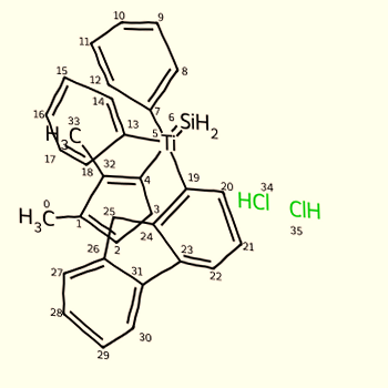 CC1=CC[C]([Ti](=[SiH2])([c]2ccccc2)([c]2ccccc2)[c]2cccc3c2Cc2ccccc2-3)=C1C.Cl.Cl